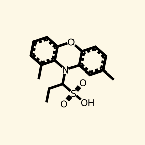 CCC(N1c2cc(C)ccc2Oc2cccc(C)c21)S(=O)(=O)O